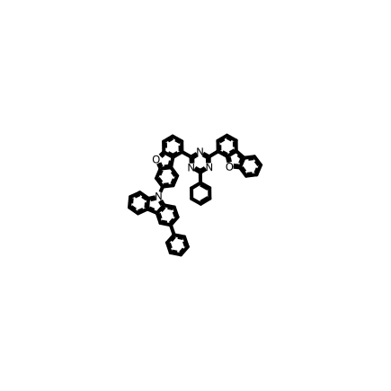 C1=CCCC(c2nc(-c3cccc4c3oc3ccccc34)nc(-c3cccc4oc5cc(-n6c7ccccc7c7cc(-c8ccccc8)ccc76)ccc5c34)n2)=C1